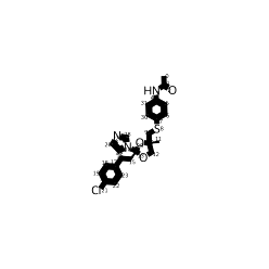 CC(=O)Nc1ccc(SC[C@]2(C)CO[C@](CCc3ccc(Cl)cc3)(n3ccnc3)O2)cc1